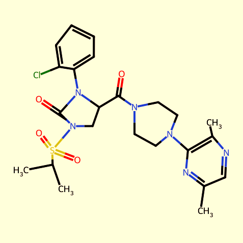 Cc1cnc(C)c(N2CCN(C(=O)C3CN(S(=O)(=O)C(C)C)C(=O)N3c3ccccc3Cl)CC2)n1